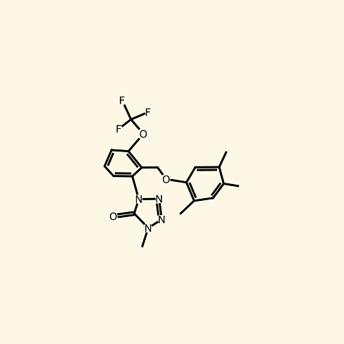 Cc1cc(C)c(OCc2c(OC(F)(F)F)cccc2-n2nnn(C)c2=O)cc1C